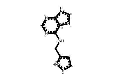 c1cc(CNc2ncnc3[nH]cnc23)[nH]n1